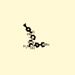 CC(=O)N1CCC(c2ccc(Nc3nc(N4CCC[C@@H](NC(=O)c5ccc(C6CC6)cc5)[C@H]4C)cnc3C(N)=O)cc2)CC1